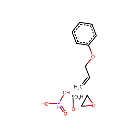 C1CO1.C=CCOc1ccccc1.O=S(=O)(O)O.O=[PH](O)O